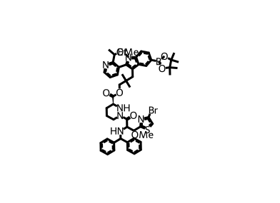 CCn1c(-c2cccnc2C(C)OC)c(CC(C)(C)COC(=O)[C@@H]2CCCN(C(=O)C(NC(c3ccccc3)c3ccccc3)C(OC)c3nc(Br)cs3)N2)c2cc(B3OC(C)(C)C(C)(C)O3)ccc21